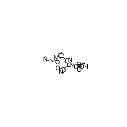 COc1cc(-c2cn(COP(=O)(O)O)c3ncc(-c4cccc(N(C)C(=O)/C=C/CN(C)C)c4)cc23)ccn1